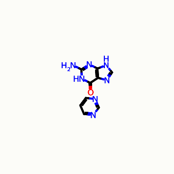 Nc1nc2[nH]cnc2c(=O)[nH]1.c1cncnc1